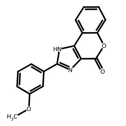 COc1cccc(-c2nc3c(=O)oc4ccccc4c3[nH]2)c1